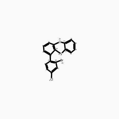 Clc1ccc(-c2cccc3c2Sc2ccccc2O3)c(Br)c1